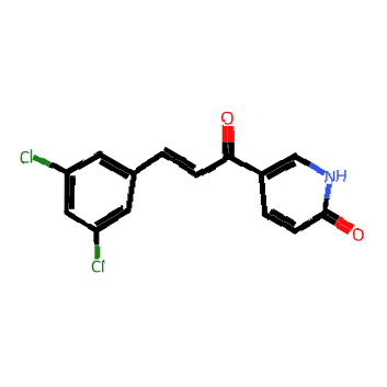 O=C(C=Cc1cc(Cl)cc(Cl)c1)c1ccc(=O)[nH]c1